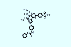 CC(C)S(=O)(=O)c1ccc(-c2cnc(N(C(=O)OC(C)(C)C)C(=O)OC(C)(C)C)c(-c3cc(-c4ccc(NC(=O)Oc5ccccc5)cc4)no3)n2)cc1